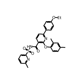 CCOc1ccc(-c2ccc(C(=O)NS(=O)(=O)c3cccc(C)n3)c(Oc3ccc(C)cc3C)n2)cc1